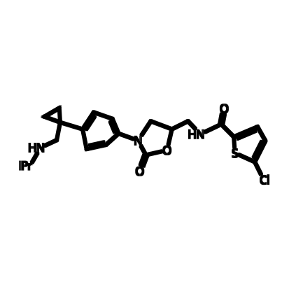 CC(C)NCC1(c2ccc(N3CC(CNC(=O)c4ccc(Cl)s4)OC3=O)cc2)CC1